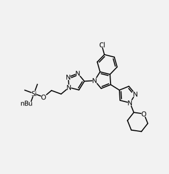 CCCC[Si](C)(C)OCCn1cc(-n2cc(-c3cnn(C4CCCCO4)c3)c3ccc(Cl)cc32)nn1